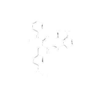 COc1ccc(C[C@H](Nc2nc3cccc(C)c3c(=O)o2)C(=O)N(C)c2ccccc2)cc1